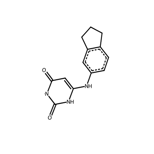 O=C1C=C(Nc2ccc3c(c2)CCC3)NC(=O)[N]1